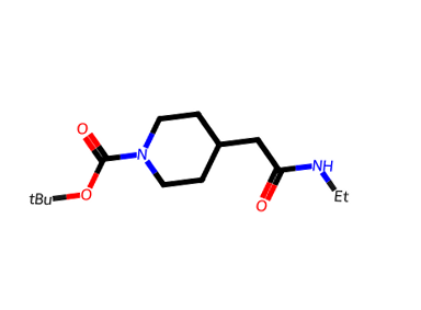 CCNC(=O)CC1CCN(C(=O)OC(C)(C)C)CC1